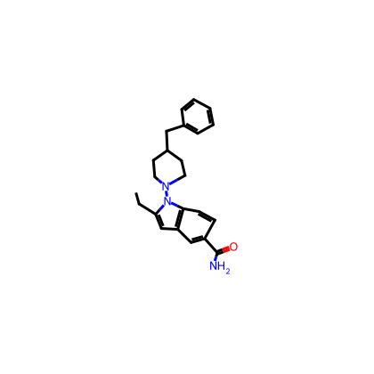 CCc1cc2cc(C(N)=O)ccc2n1N1CCC(Cc2ccccc2)CC1